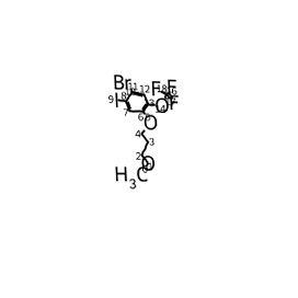 COCCCOc1cc(I)c(Br)cc1OC(F)(F)F